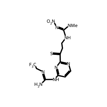 CNC(=N[N+](=O)[O-])NCCC(=S)c1nccc(NC(N)=NCC(F)(F)F)n1